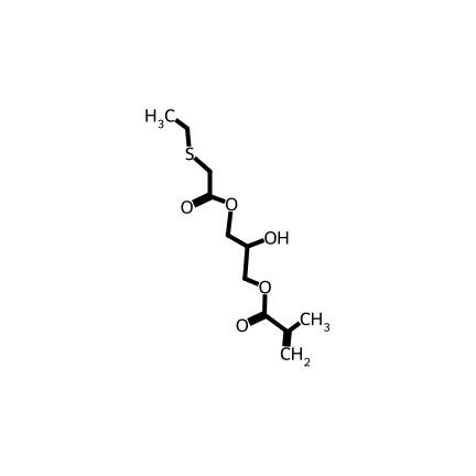 C=C(C)C(=O)OCC(O)COC(=O)CSCC